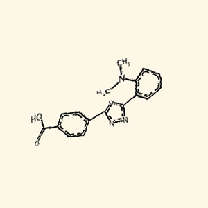 CN(C)c1ccccc1-c1nnc(-c2ccc(C(=O)O)cc2)o1